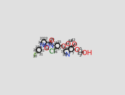 CC(C)(O)COc1cc2nccc(Oc3ccc(NC(=O)c4cccn(-c5ccc(F)cc5)c4=O)c(Cl)c3)c2c2c1OCCO2